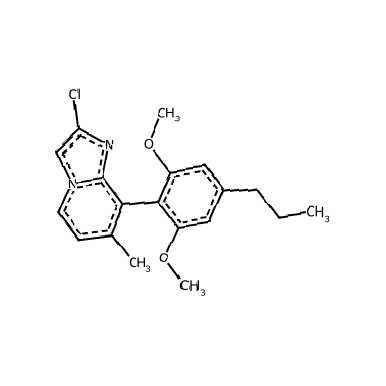 CCCc1cc(OC)c(-c2c(C)ccn3cc(Cl)nc23)c(OC)c1